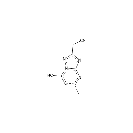 Cc1cc(O)n2nc(CC#N)nc2n1